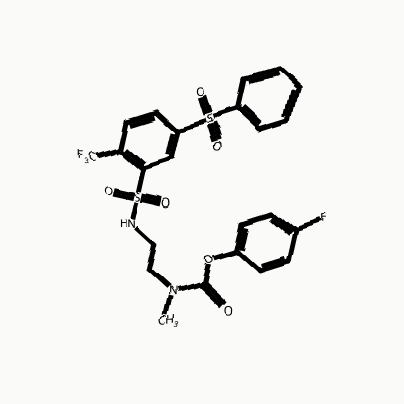 CN(CCNS(=O)(=O)c1cc(S(=O)(=O)c2ccccc2)ccc1C(F)(F)F)C(=O)Oc1ccc(F)cc1